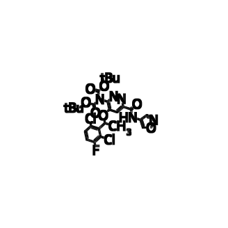 CC(Oc1cc(C(=O)Nc2cnoc2)nnc1N(C(=O)OC(C)(C)C)C(=O)OC(C)(C)C)c1c(Cl)ccc(F)c1Cl